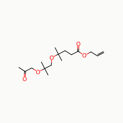 C=CCOC(=O)CCC(C)(C)OCC(C)(C)OCC(C)=O